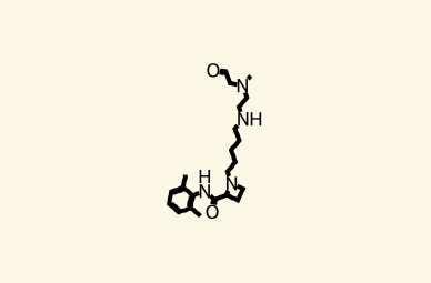 Cc1cccc(C)c1NC(=O)C1CCN1CCCCCNCCN(C)CC=O